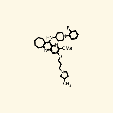 COc1nc2c(NC3CCN(c4ccccc4F)CC3)c3c(nc2cc1OCCCN1CCC(C)C1)CCCCC3